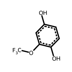 Oc1ccc(O)c(OC(F)(F)F)c1